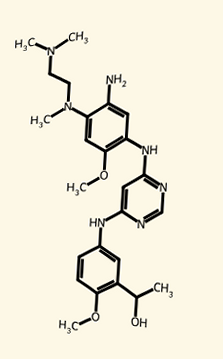 COc1cc(N(C)CCN(C)C)c(N)cc1Nc1cc(Nc2ccc(OC)c(C(C)O)c2)ncn1